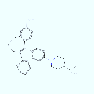 COc1ccc2c(c1)CCCC(c1ccccc1)=C2c1ccc(N2CCC(C(OC)OC)CC2)cc1